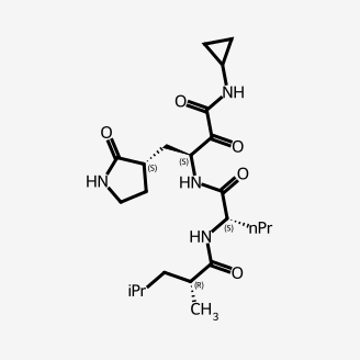 CCC[C@H](NC(=O)[C@H](C)CC(C)C)C(=O)N[C@@H](C[C@@H]1CCNC1=O)C(=O)C(=O)NC1CC1